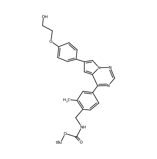 Cc1cc(-c2ncnn3cc(-c4ccc(OCCO)cc4)cc23)ccc1CNC(=O)OC(C)(C)C